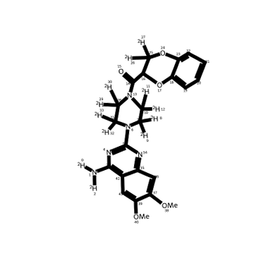 [2H]N([2H])c1nc(N2C([2H])([2H])C([2H])([2H])N(C(=O)C3Oc4ccccc4OC3([2H])[2H])C([2H])([2H])C2([2H])[2H])nc2cc(OC)c(OC)cc12